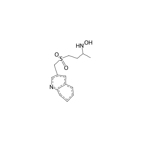 CC(CCS(=O)(=O)Cc1cnc2ccccc2c1)NO